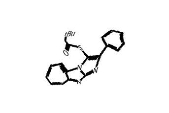 CC(C)(C)C(=O)Sc1c(-c2ccccc2)nc2nc3cccccc3n12